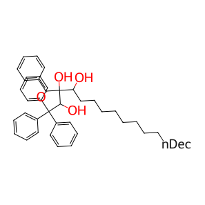 CCCCCCCCCCCCCCCCCCC(O)C(O)(C(=O)c1ccccc1)C(O)C(c1ccccc1)(c1ccccc1)c1ccccc1